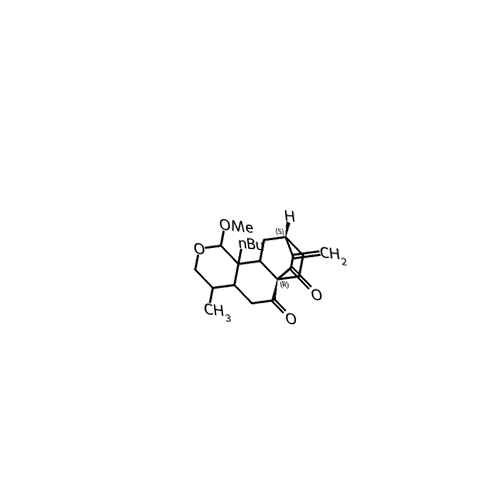 C=C1C(=O)[C@]23CC[C@H]1CC2C1(CCCC)C(OC)OCC(C)C1CC3=O